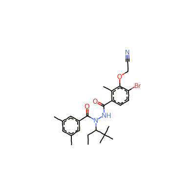 CCC(N(NC(=O)c1ccc(Br)c(OCC#N)c1C)C(=O)c1cc(C)cc(C)c1)C(C)(C)C